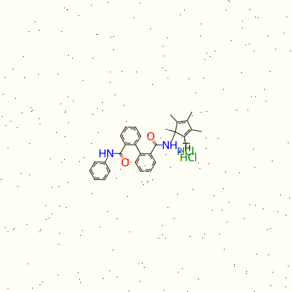 CC1=C(C)C(C)(C)[C]([Ti])=C1C.Cl.Cl.NC(=O)c1ccccc1-c1ccccc1C(=O)Nc1ccccc1